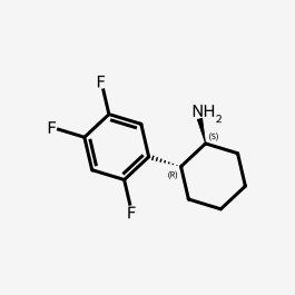 N[C@H]1CCCC[C@@H]1c1cc(F)c(F)cc1F